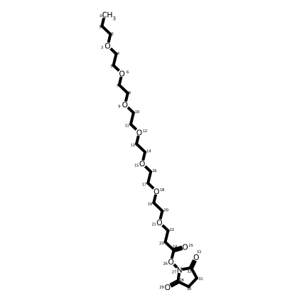 CCCOCCOCCOCCOCCOCCOCCOCCC(=O)ON1C(=O)CCC1=O